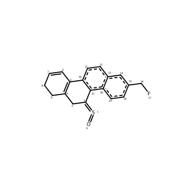 O=S=C1CC2=C(C=CCC2)c2ccc3cc(CF)ccc3c21